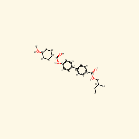 CC[C@H](C)COC(=O)c1ccc(-c2ccc(OC(=O)[C@H]3CC[C@H](OC)CC3)cc2)cc1